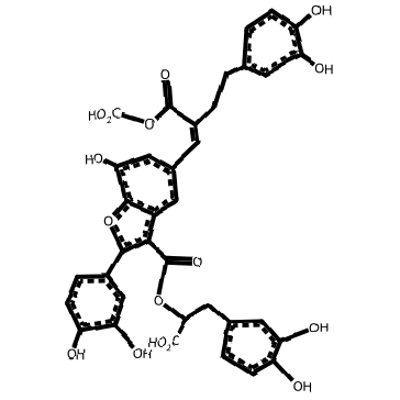 O=C(O)OC(=O)C(=Cc1cc(O)c2oc(-c3ccc(O)c(O)c3)c(C(=O)OC(Cc3ccc(O)c(O)c3)C(=O)O)c2c1)CCc1ccc(O)c(O)c1